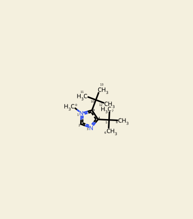 Cn1cnc(C(C)(C)C)c1C(C)(C)C